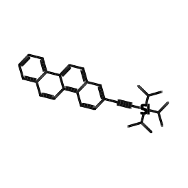 CC(C)[Si](C#Cc1ccc2c(ccc3c4ccccc4ccc23)c1)(C(C)C)C(C)C